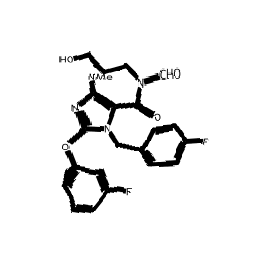 CNc1nc(Oc2cccc(F)c2)n(Cc2ccc(F)cc2)c1C(=O)N(C=O)CCCO